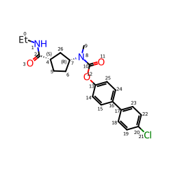 CCNC(=O)[C@H]1CC[C@@H](N(C)C(=O)Oc2ccc(-c3ccc(Cl)cc3)cc2)C1